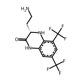 NCC[C@@H]1Nc2c(cc(C(F)(F)F)cc2C(F)(F)F)NC1=O